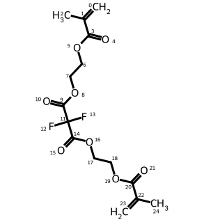 C=C(C)C(=O)OCCOC(=O)C(F)(F)C(=O)OCCOC(=O)C(=C)C